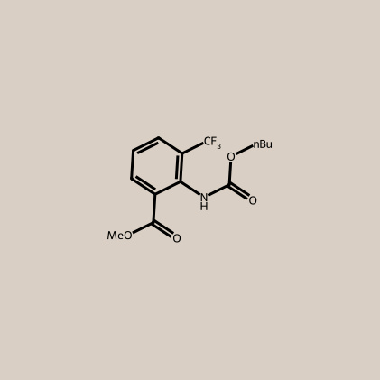 CCCCOC(=O)Nc1c(C(=O)OC)cccc1C(F)(F)F